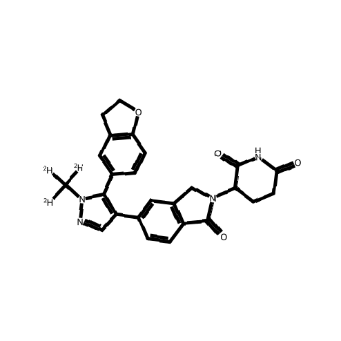 [2H]C([2H])([2H])n1ncc(-c2ccc3c(c2)CN(C2CCC(=O)NC2=O)C3=O)c1-c1ccc2c(c1)CCO2